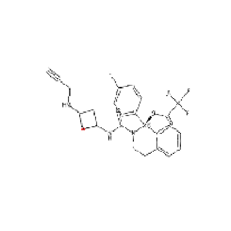 C#CCNC12CC(NC(=O)N3CCc4ccccc4[C@@]3(OC(=O)C(F)(F)F)c3ccc(F)cc3)(C1)C2